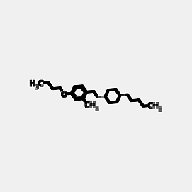 CCCCC[C@H]1CC[C@H](CCc2ccc(OCCCC)cc2C)CC1